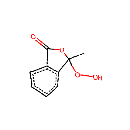 CC1(OO)OC(=O)c2ccccc21